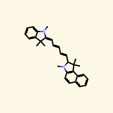 CN1/C(=C/C=C/C=C/C2N(C)c3ccc4ccccc4c3C2(C)C)C(C)(C)c2ccccc21